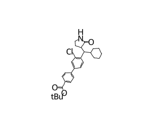 CC(C)(C)OC(=O)c1ccc(-c2ccc(C(C3CCCCC3)C3CCNC3=O)c(Cl)c2)cc1